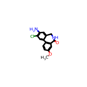 COc1ccc2c(c1)C(=O)NCc1cc(N)c(Cl)cc1-2